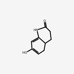 O=C1CCC2CC=C(O)C=C2N1